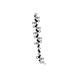 CCNC(=O)COCCOCCNC(=O)CNC(=O)CNC(=O)CNC(=O)CNC(=O)CNC=O